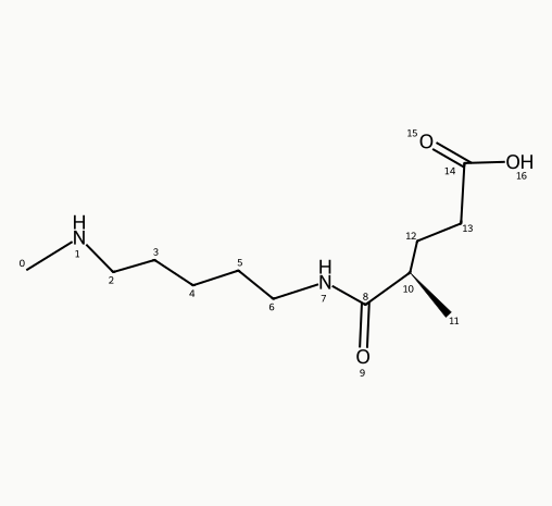 CNCCCCCNC(=O)[C@H](C)CCC(=O)O